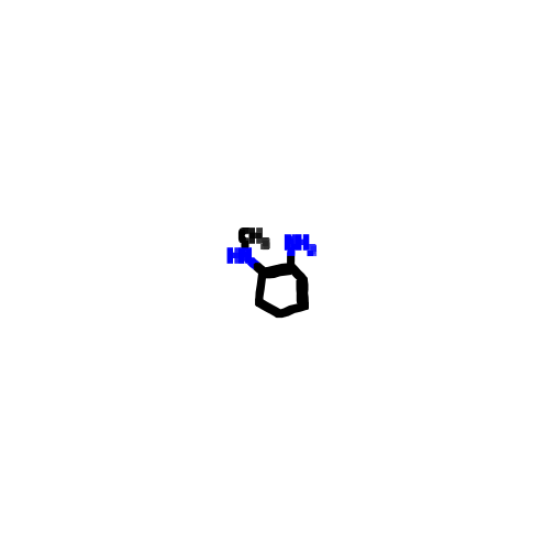 CNC1=C(N)C=CCC1